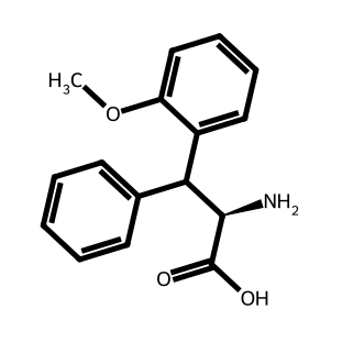 COc1ccccc1C(c1ccccc1)[C@@H](N)C(=O)O